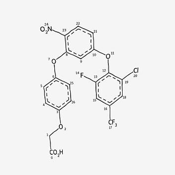 O=C(O)COc1ccc(Oc2cc(Oc3c(F)cc(C(F)(F)F)cc3Cl)ccc2[N+](=O)[O-])cc1